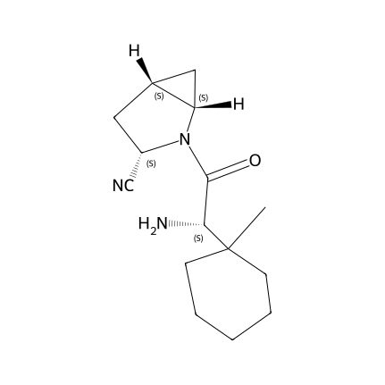 CC1([C@H](N)C(=O)N2[C@H](C#N)C[C@@H]3C[C@@H]32)CCCCC1